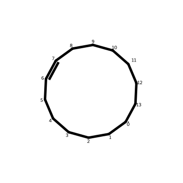 [CH]1CCCCCC=CCCCCCC1